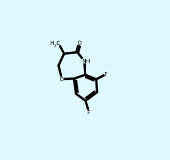 CC1COc2cc(F)cc(F)c2NC1=O